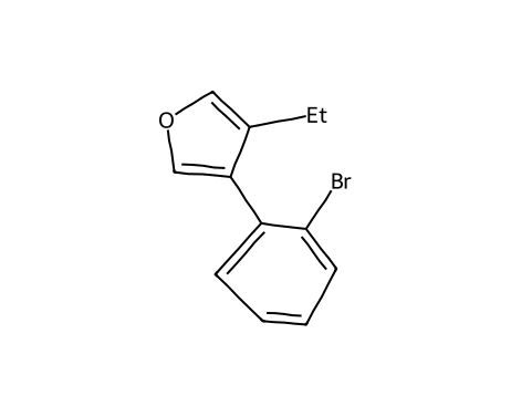 [CH2]Cc1cocc1-c1ccccc1Br